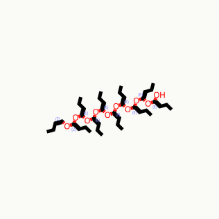 CC/C=C\O/C(=C/CC)O/C(=C\CC)O/C(=C\CC)O/C(=C\CC)O/C(=C\CC)O/C(=C\CC)O/C(=C/CC)O/C(=C/CC)O/C(O)=C/CC